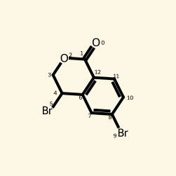 O=C1OCC(Br)c2cc(Br)ccc21